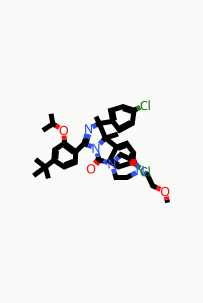 COCCN1CCN(C(=O)N2C(c3ccc(C(C)(C)C)cc3OC(C)C)=NC(C)(c3ccc(Cl)cc3)C2(C)c2ccc(Cl)cc2)CC1